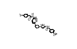 CN(C)c1ccc(CC(=O)Nc2ccc([C@@H]3CCC[C@@H](c4ccc(NC(=O)Cc5ccc(N(C)C)cc5)nn4)C3)nn2)cc1